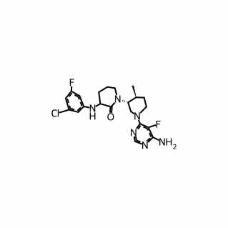 C[C@H]1CCN(c2ncnc(N)c2F)C[C@@H]1N1CCCC(Nc2cc(F)cc(Cl)c2)C1=O